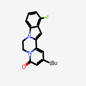 CC(C)(C)c1cc2n(c(=O)c1)CCn1c-2cc2c(F)cccc21